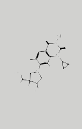 Cc1c(N2CC(C)C(C)(C(O)O)C2)c(F)cc2c(=O)n(N)c(=O)n(C3CC3)c12